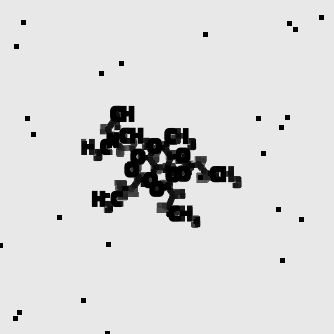 C#CC[N+](C)(C)CCOC1O[C@@H](C)[C@@H](OC(=O)CCC)[C@@H](OC(=O)CCC)[C@@H]1OC(=O)CCC